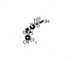 CC1(C)C(=O)N(c2ccc(C#N)c(C(F)(F)F)c2)C(=S)N1c1ccc(NC(=O)NCCO)nc1